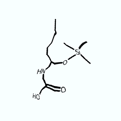 CCCC(NC(=O)O)O[Si](C)(C)C